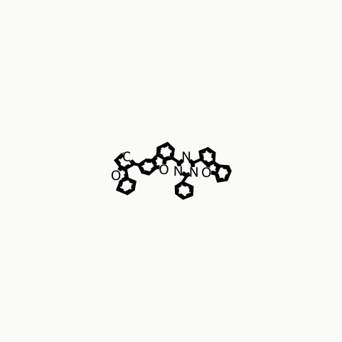 c1ccc(-c2nc(-c3cccc4c3oc3ccccc34)nc(-c3cccc4c3oc3ccc(-c5cccc6oc7ccccc7c56)cc34)n2)cc1